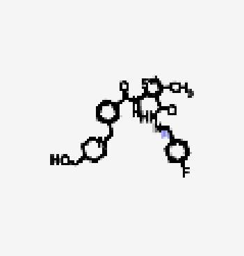 Cc1csc(NC(=O)c2cccc(CN3CCC(CO)CC3)c2)c1C(=O)N/N=C/c1ccc(F)cc1